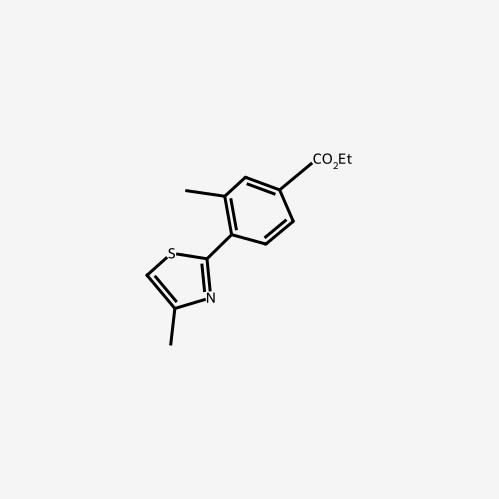 CCOC(=O)c1ccc(-c2nc(C)cs2)c(C)c1